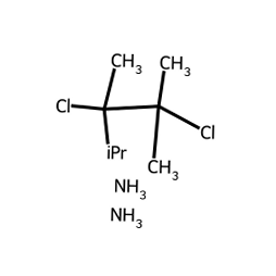 CC(C)C(C)(Cl)C(C)(C)Cl.N.N